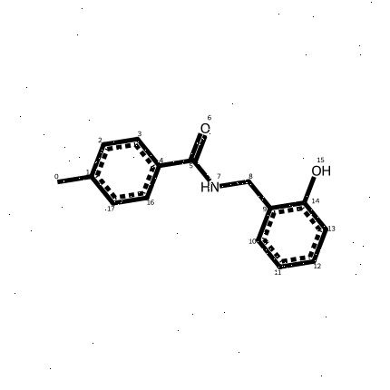 Cc1ccc(C(=O)NCc2ccccc2O)cc1